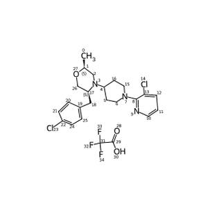 C[C@H]1CN(C2CCN(c3ncccc3Cl)CC2)[C@@H](Cc2ccc(Cl)cc2)CO1.O=C(O)C(F)(F)F